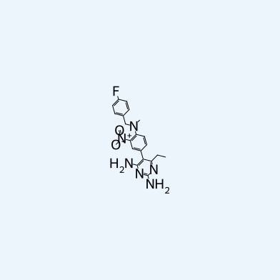 CCc1nc(N)nc(N)c1-c1ccc(N(C)Cc2ccc(F)cc2)c([N+](=O)[O-])c1